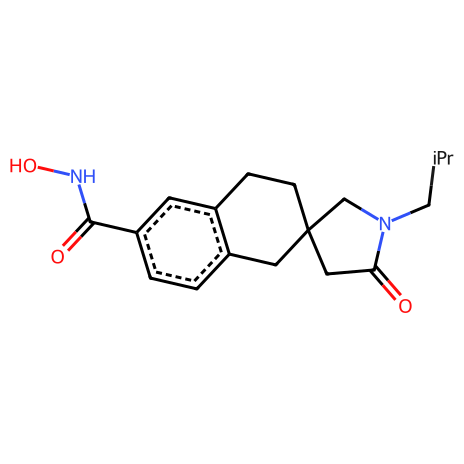 CC(C)CN1CC2(CCc3cc(C(=O)NO)ccc3C2)CC1=O